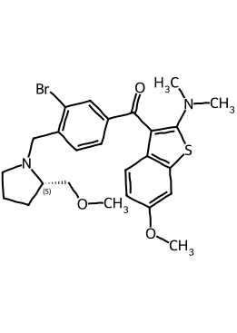 COC[C@@H]1CCCN1Cc1ccc(C(=O)c2c(N(C)C)sc3cc(OC)ccc23)cc1Br